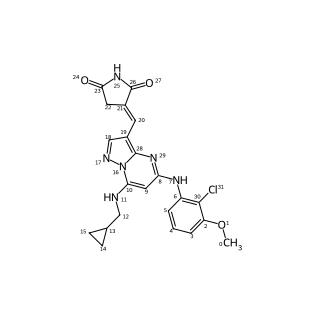 COc1cccc(Nc2cc(NCC3CC3)n3ncc(/C=C4\CC(=O)NC4=O)c3n2)c1Cl